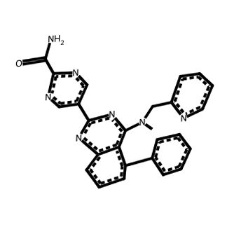 CN(Cc1ccccn1)c1nc(-c2cnc(C(N)=O)nc2)nc2cccc(-c3ccccc3)c12